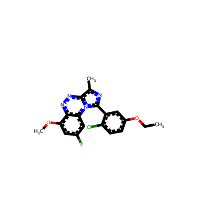 CCOc1ccc(Cl)c(-c2nc(C)c3nnc4c(OC)cc(F)cc4n23)c1